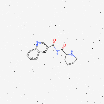 O=C(NC(=O)C1CC=CCN1)c1cnc2ccccc2c1